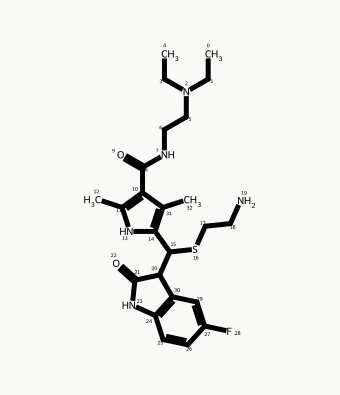 CCN(CC)CCNC(=O)c1c(C)[nH]c(C(SCCN)C2C(=O)Nc3ccc(F)cc32)c1C